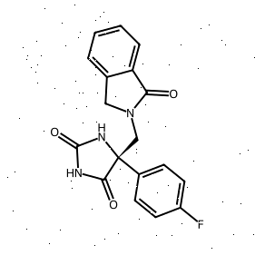 O=C1NC(=O)[C@@](CN2Cc3ccccc3C2=O)(c2ccc(F)cc2)N1